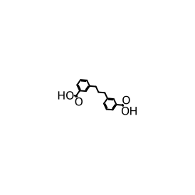 O=C(O)c1cccc(CCCc2cccc(C(=O)O)c2)c1